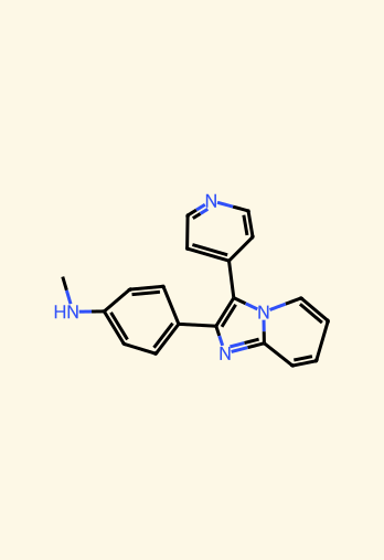 CNc1ccc(-c2nc3ccccn3c2-c2ccncc2)cc1